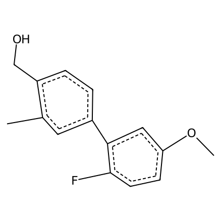 COc1ccc(F)c(-c2ccc(CO)c(C)c2)c1